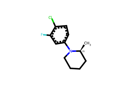 C[C@H]1CCCCN1c1ccc(Cl)c(F)c1